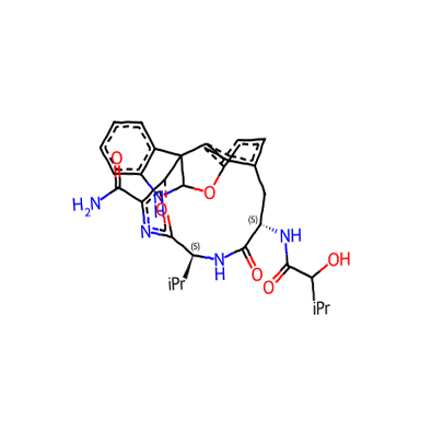 CC(C)C(O)C(=O)N[C@H]1Cc2ccc3c(c2)C2(c4ccccc4NC2O3)c2oc(nc2C(N)=O)[C@H](C(C)C)NC1=O